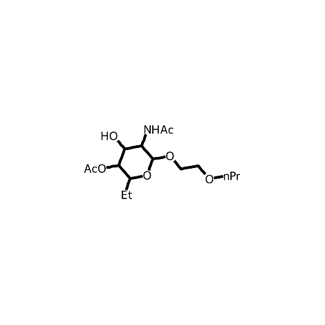 CCCOCCOC1OC(CC)C(OC(C)=O)C(O)C1NC(C)=O